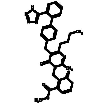 CCCCc1nc(C)n(CC2=C(C(=O)OC)C=CCC2=S)c(=O)c1Cc1ccc(-c2ccccc2-c2nnn[nH]2)cc1